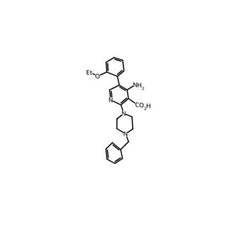 CCOc1ccccc1-c1cnc(N2CCN(Cc3ccccc3)CC2)c(C(=O)O)c1N